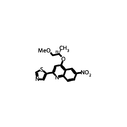 COC[C@H](C)Oc1cc(-c2cncs2)nc2ccc([N+](=O)[O-])cc12